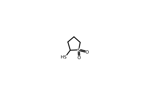 O=S1(=O)CCCC1S